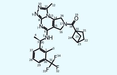 Cc1c([C@@H](C)Nc2nc3nnc(C)n3c3c2CN(C(=O)C24CCC(C2)C4)C3)cccc1C(F)(F)F